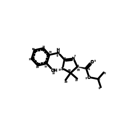 CC(C)OC(=O)[C@H]1N=C(Nc2ccccc2O)SC1(C)C